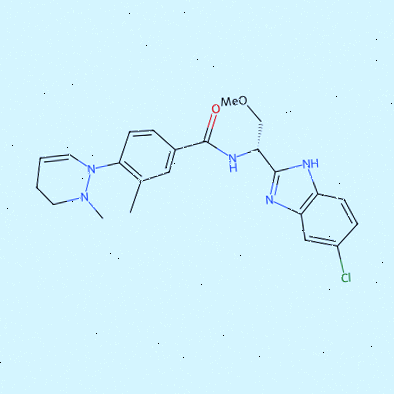 COC[C@@H](NC(=O)c1ccc(N2C=CCCN2C)c(C)c1)c1nc2cc(Cl)ccc2[nH]1